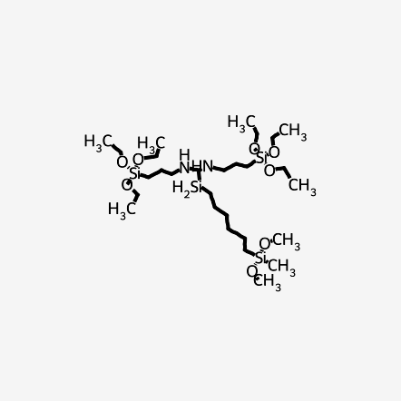 CCO[Si](CCCNC(NCCC[Si](OCC)(OCC)OCC)[SiH2]CCCCCC[Si](C)(OC)OC)(OCC)OCC